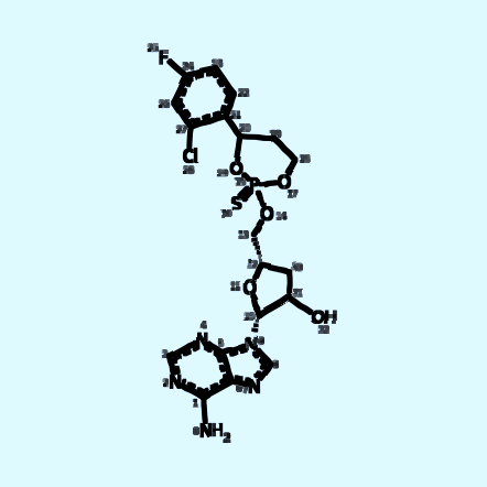 Nc1ncnc2c1ncn2[C@@H]1O[C@H](COP2(=S)OCCC(c3ccc(F)cc3Cl)O2)CC1O